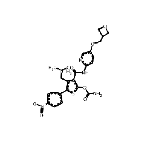 CN(C)Cc1c(-c2ccc([N+](=O)[O-])cc2)sc(OC(N)=O)c1C(=O)Nc1ccc(OCC2COC2)cn1